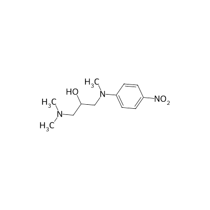 CN(C)CC(O)CN(C)c1ccc([N+](=O)[O-])cc1